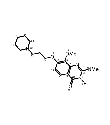 CCn1c(NC)nc2c(OC)c(OCCCN3CCCCC3)ccc2c1=O